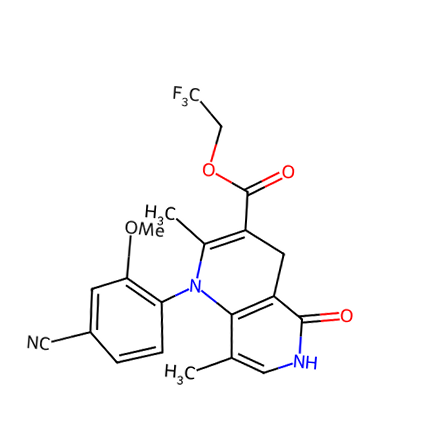 COc1cc(C#N)ccc1N1C(C)=C(C(=O)OCC(F)(F)F)Cc2c1c(C)c[nH]c2=O